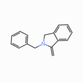 C=C1c2ccccc2CN1Cc1ccccc1